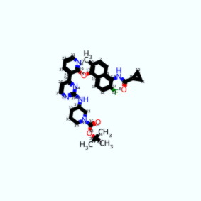 Cc1ccc2c(NC(=O)C3CC3)c(F)ccc2c1Oc1ncccc1-c1ccnc(NC2CCCN(C(=O)OC(C)(C)C)C2)n1